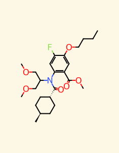 CCCCOc1cc(C(=O)OC)c(N(C(=O)[C@H]2CC[C@H](C)CC2)C(COC)COC)cc1F